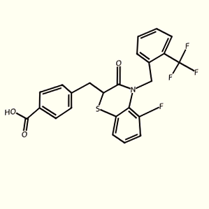 O=C(O)c1ccc(CC2Sc3cccc(F)c3N(Cc3ccccc3C(F)(F)F)C2=O)cc1